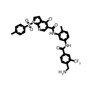 Cc1ccc(S(=O)(=O)n2ccc3c(Cl)c(C(=O)Nc4cc(NC(=O)c5ccc(CN)c(C(F)(F)F)c5)ccc4C)cnc32)cc1